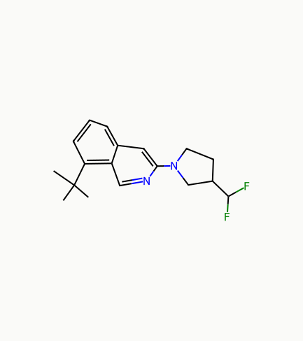 CC(C)(C)c1cccc2cc(N3CCC(C(F)F)C3)ncc12